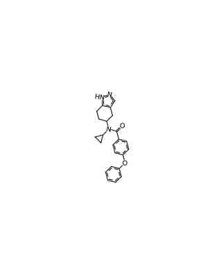 O=C(c1ccc(Oc2ccccc2)cc1)N(C1CC1)C1CCc2[nH]ncc2C1